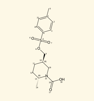 Cc1ccc(S(=O)(=O)OC[C@@H]2CC[C@@H](C)N(C(=O)O)C2)cc1